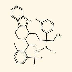 CCC(CCC1c2[nH]c3ccccc3c2CCN1C(=O)c1c(F)cccc1C(F)(F)F)(c1cccc(F)c1)N(C)C